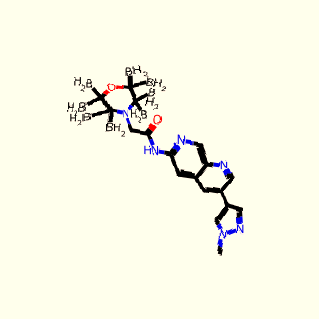 BC1(B)OC(B)(B)C(B)(B)N(CC(=O)Nc2cc3cc(-c4cnn(C)c4)cnc3cn2)C1(B)B